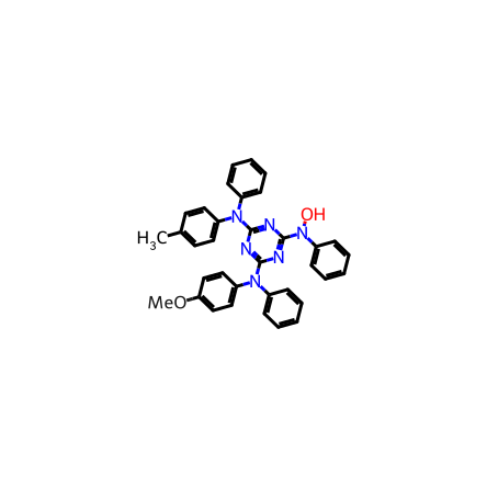 COc1ccc(N(c2ccccc2)c2nc(N(O)c3ccccc3)nc(N(c3ccccc3)c3ccc(C)cc3)n2)cc1